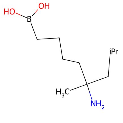 CC(C)CC(C)(N)CCCCB(O)O